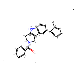 Cc1ccccc1-c1ccc2[nH]c3c(c2c1)CN(C(=O)c1ccccc1)CC3